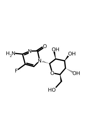 Nc1nc(=O)n([C@H]2O[C@H](CO)[C@@H](O)[C@H](O)[C@@H]2O)cc1F